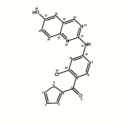 O=C(c1cccs1)c1ccc(Nc2ncc3cc(O)ccc3n2)cc1Cl